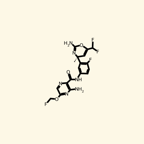 C[C@@]1(c2cc(NC(=O)c3ncc(OCF)nc3N)ccc2F)C=C(C(F)F)OC(N)=N1